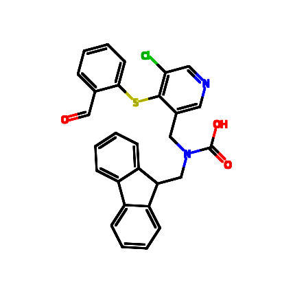 O=Cc1ccccc1Sc1c(Cl)cncc1CN(CC1c2ccccc2-c2ccccc21)C(=O)O